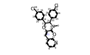 CN1C(=O)/C(=C\c2cccnc2)OC(c2ccc(Cl)cc2)C1c1ccc(Cl)cc1